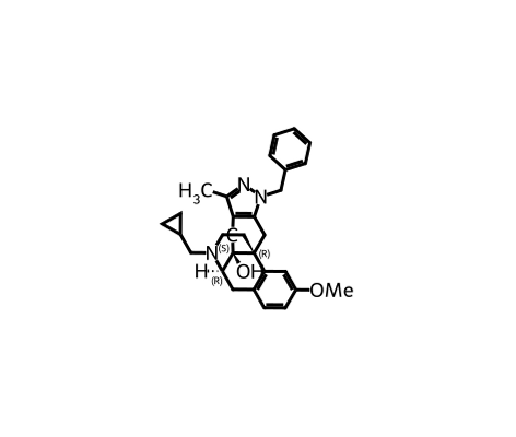 COc1ccc2c(c1)[C@]13CCN(CC4CC4)[C@H](C2)[C@]1(O)Cc1c(C)nn(Cc2ccccc2)c1C3